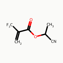 C=C(C(=O)OC(C)C#N)C(F)(F)F